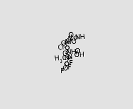 Cn1c(-c2ccc(OCF)c(F)c2F)cnc1C(=O)Nc1ccc(C(=O)N2CCN(C(=O)C3CNCC3O)CC2)c(Cl)c1.O=CO